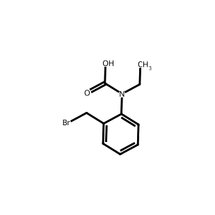 CCN(C(=O)O)c1ccccc1CBr